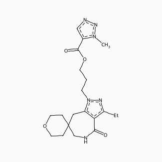 CCc1nn(CCCOC(=O)c2cnnn2C)c2c1C(=O)NCC1(CCOCC1)C2